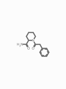 NC(=O)C1CCCCN1C(=O)[CH]c1ccccc1